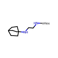 CCCCCCNCCNC12CCC(CC1)CC2